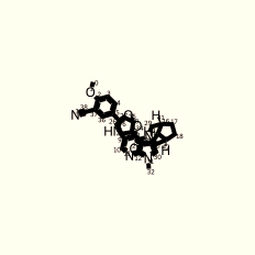 COc1ccc(C(=O)Nc2cnc3c(c([C@H]4[C@@H]5CC[C@H]4CN(C(=O)C4CCCC4)C5)cn3C)c2OC)cc1C#N